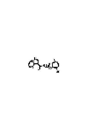 Cc1ccc(Br)c2oc(CNC(=O)c3cnn4cccnc34)cc12